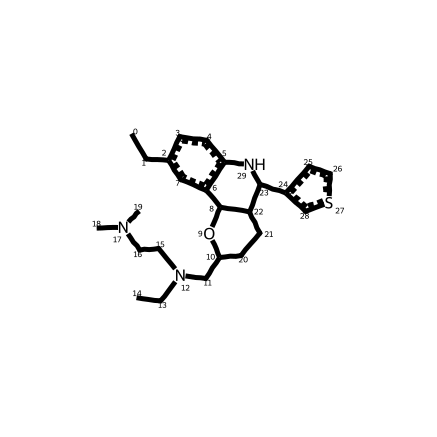 CCc1ccc2c(c1)C1OC(CN(CC)CCN(C)C)CCC1C(c1ccsc1)N2